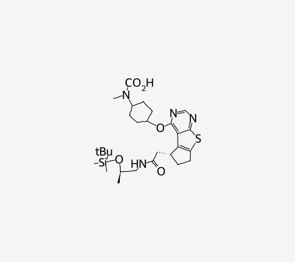 C[C@H](CNC(=O)C[C@H]1CCc2sc3ncnc(OC4CCC(N(C)C(=O)O)CC4)c3c21)O[Si](C)(C)C(C)(C)C